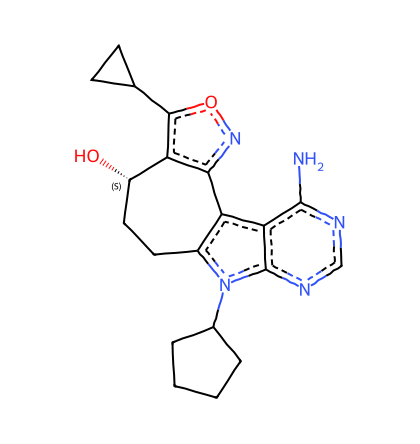 Nc1ncnc2c1c1c(n2C2CCCC2)CC[C@H](O)c2c-1noc2C1CC1